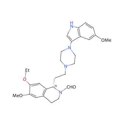 CCOc1cc2c(cc1OC)CCN(C=O)[C@H]2CCN1CCN(c2c[nH]c3ccc(OC)cc23)CC1